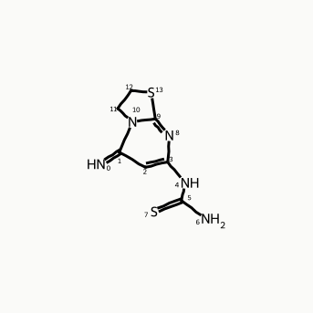 N=c1cc(NC(N)=S)nc2n1CCS2